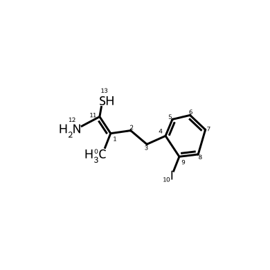 C/C(CCc1ccccc1I)=C(\N)S